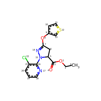 CCOC(=O)C1CC(Oc2ccsc2)=NN1c1ncccc1Cl